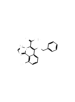 O=C(O)c1c(OCc2ccccc2)c2cccc(Br)c2c2ncnn12